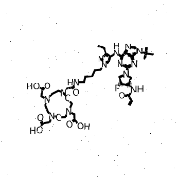 C=CC(=O)N[C@@H]1CN(c2nc(Nc3cn(CCCCCNC(=O)CN4CCN(CC(=O)O)CCN(CC(=O)O)CCN(CC(=O)O)CC4)nc3CC)c3ncn(C(C)(C)C)c3n2)C[C@H]1F